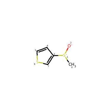 C[S+]([O-])c1ccsc1